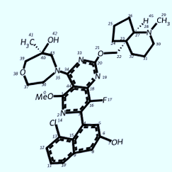 COc1nc(-c2cc(O)cc3cccc(Cl)c23)c(F)c2nc(OC[C@]34CCC[C@H]3N(C)CCC4)nc(N3CCOC[C@@](C)(O)C3)c12